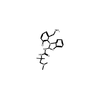 CN(C)CC(C)(C)NC(=O)NC1Sc2ccccc2N1c1c(Cl)cccc1CN